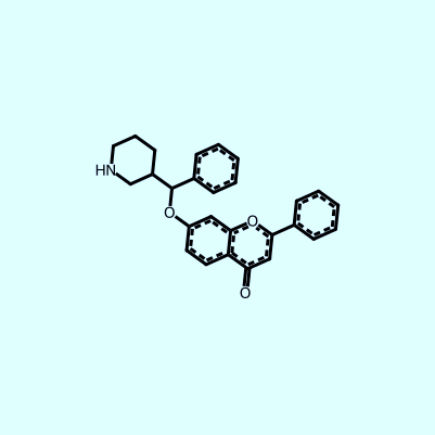 O=c1cc(-c2ccccc2)oc2cc(OC(c3ccccc3)C3CCCNC3)ccc12